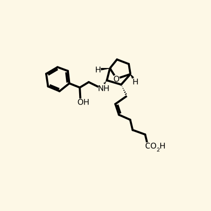 O=C(O)CCC/C=C\C[C@@H]1[C@H](NCC(O)c2ccccc2)[C@@H]2CC[C@H]1O2